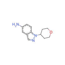 Nc1ccc2c(cnn2C2CCOCC2)c1